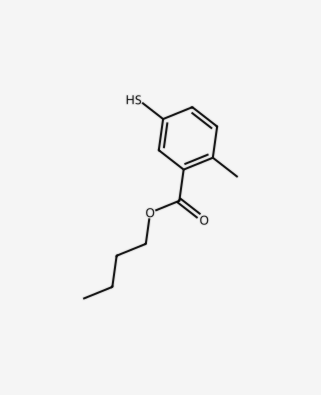 CCCCOC(=O)c1cc(S)ccc1C